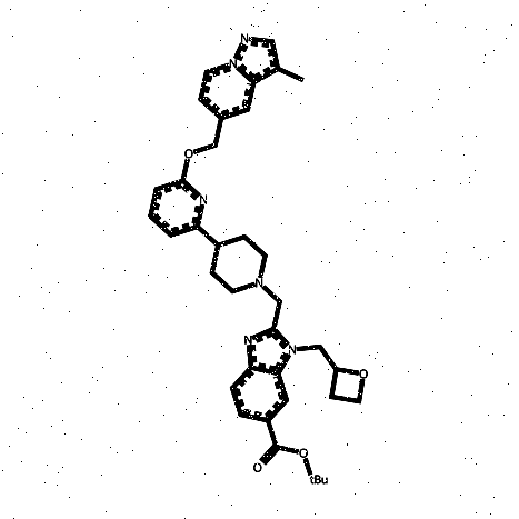 Cc1cnn2ccc(COc3cccc(C4CCN(Cc5nc6ccc(C(=O)OC(C)(C)C)cc6n5CC5CCO5)CC4)n3)cc12